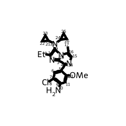 CCc1nc2c(-c3cc(Cl)c(N)cc3OC)ncc(C)n2c1N(C1CC1)C1CC1